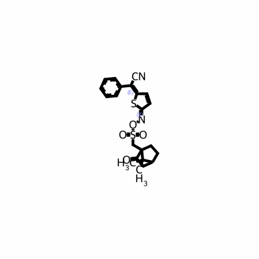 CC1(C)C2CCC1(CS(=O)(=O)O/N=C1C=C/C(=C(\C#N)c3ccccc3)S/1)C(=O)C2